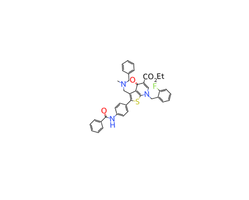 CCOC(=O)c1cn(Cc2ccccc2F)c2sc(-c3ccc(NC(=O)c4ccccc4)cc3)c(CN(C)Cc3ccccc3)c2c1=O